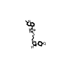 COc1ccc([C@]23C[C@@H]2CN(CCCSc2nnc(-c4cccc5nc(C)ccc45)n2C)C3)cc1